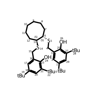 CC(C)(C)c1cc(CS[C@H]2CCCCCC[C@@H]2SCc2cc(C(C)(C)C)cc(C(C)(C)C)c2O)c(O)c(C(C)(C)C)c1